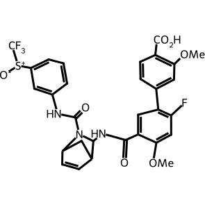 COc1cc(-c2cc(C(=O)NC3C4C=CC(C4)N3C(=O)Nc3cccc([S+]([O-])C(F)(F)F)c3)c(OC)cc2F)ccc1C(=O)O